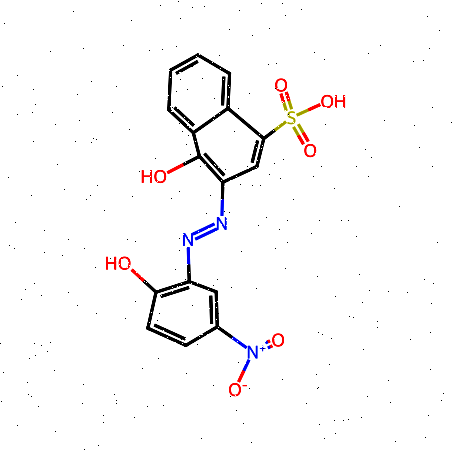 O=[N+]([O-])c1ccc(O)c(N=Nc2cc(S(=O)(=O)O)c3ccccc3c2O)c1